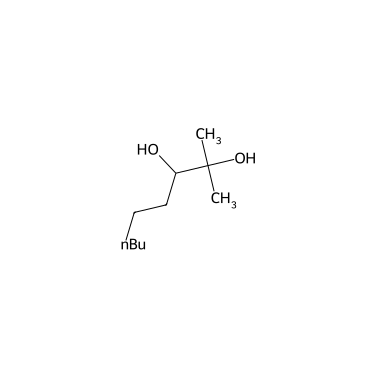 CCCCCCC(O)C(C)(C)O